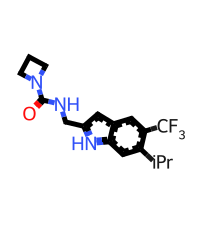 CC(C)c1cc2[nH]c(CNC(=O)N3CCC3)cc2cc1C(F)(F)F